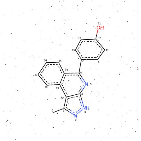 Cc1n[nH]c2nc(-c3ccc(O)cc3)c3ccccc3c12